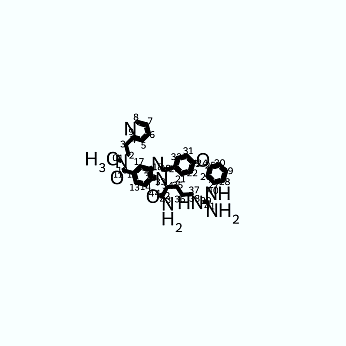 CN(CCc1ccccn1)C(=O)c1ccc2c(c1)nc(-c1ccc(Oc3ccccc3)cc1)n2C(CCCNC(=N)N)C(N)=O